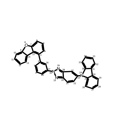 c1cc(-c2cccc3oc4ccccc4c23)cc(-n2nc3ccc(-n4c5ccccc5c5ccccc54)cc3n2)c1